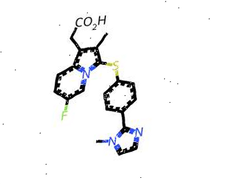 Cc1c(CC(=O)O)c2ccc(F)cn2c1Sc1ccc(-c2nccn2C)cc1